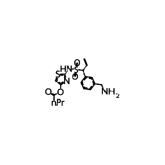 C=CC(c1cccc(CN)c1)S(=O)(=O)Nc1nc(OC(=O)CCC)cs1